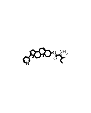 CC[C@H](C)[C@H](N)C(=O)OC1CCC2(C)C(=CCC3C2CCC2(C)C(c4cccnc4)=CCC32)C1